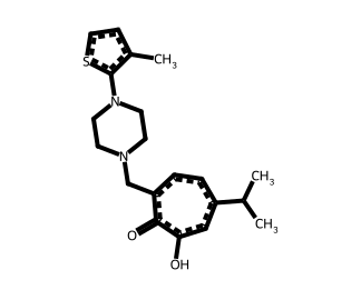 Cc1ccsc1N1CCN(Cc2ccc(C(C)C)cc(O)c2=O)CC1